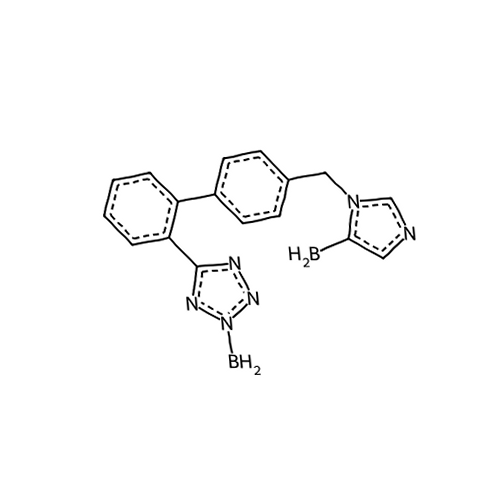 Bc1cncn1Cc1ccc(-c2ccccc2-c2nnn(B)n2)cc1